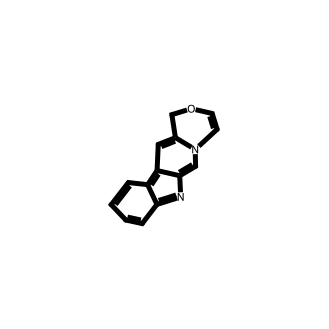 C1=Cn2cc3nc4ccccc4c-3cc2CO1